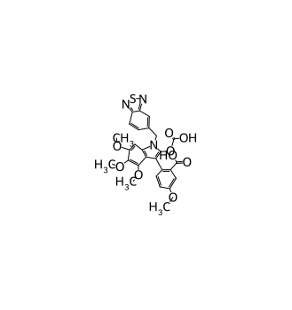 COc1ccc(-c2c(OC(=O)O)n(Cc3ccc4nsnc4c3)c3cc(OC)c(OC)c(OC)c23)c(C(=O)O)c1